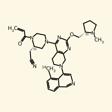 C=CC(=O)N1CCN(c2nc(OC[C@@H]3CCCN3C)nc3c2CCN(c2cncc4cccc([14CH3])c24)C3)C[C@@H]1CC#N